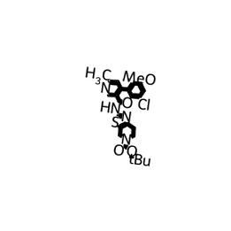 COc1ccc(Cl)cc1-c1cc(C)ncc1C(=O)Nc1nc2c(s1)CN(C(=O)OC(C)(C)C)CC2